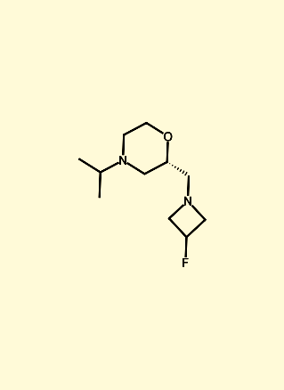 CC(C)N1CCO[C@H](CN2CC(F)C2)C1